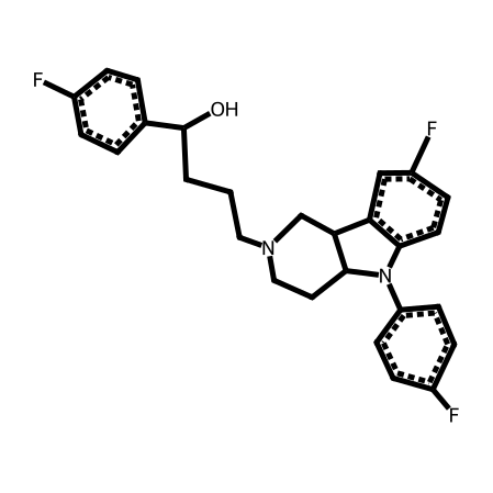 OC(CCCN1CCC2C(C1)c1cc(F)ccc1N2c1ccc(F)cc1)c1ccc(F)cc1